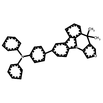 CC1(C)c2cocc2-n2c3ccc(-c4ccc(N(c5ccccc5)c5ccccc5)cc4)cc3c3cccc1c32